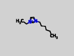 CCCCCCn1cc[n+](CC)c1